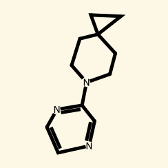 c1cnc(N2CCC3(CC2)CC3)cn1